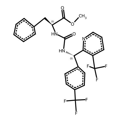 COC(=O)[C@H](Cc1ccccc1)NC(=O)N[C@@H](c1ccc(C(F)(F)F)cc1)c1ncccc1C(F)(F)F